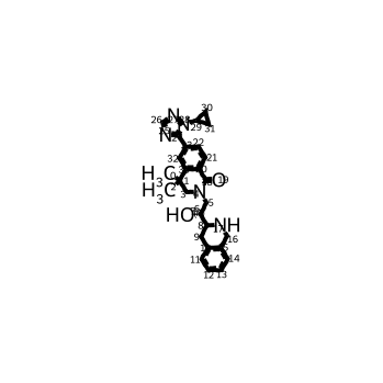 CC1(C)CN(C[C@@H](O)C2Cc3ccccc3CN2)C(=O)c2ccc(-c3ncnn3C3CC3)cc21